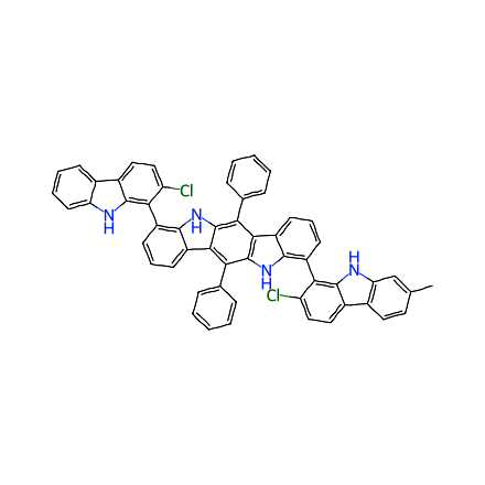 Cc1ccc2c(c1)[nH]c1c(-c3cccc4c3[nH]c3c(-c5ccccc5)c5c([nH]c6c(-c7c(Cl)ccc8c7[nH]c7ccccc78)cccc65)c(-c5ccccc5)c34)c(Cl)ccc12